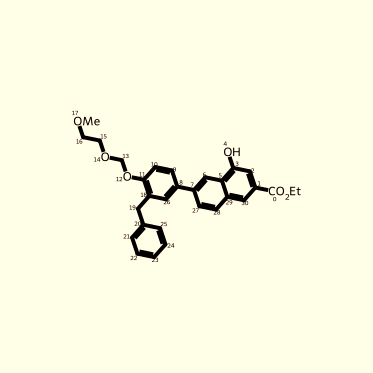 CCOC(=O)c1cc(O)c2cc(-c3ccc(OCOCCOC)c(Cc4ccccc4)c3)ccc2c1